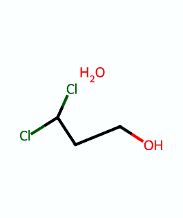 O.OCCC(Cl)Cl